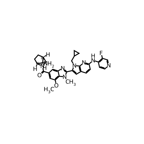 COc1cc(C(=O)N2C[C@H]3CC[C@@H]2[C@@H]3N)cc2nc(-c3cc4ccc(Nc5ccncc5F)nc4n3CC3CC3)n(C)c12